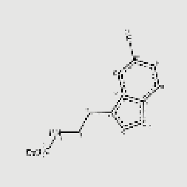 CCOC(=O)NCCc1csc2ccc(F)cc12